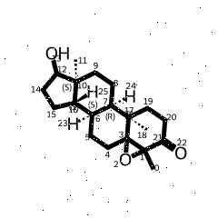 CC12OC13CC[C@@H]1[C@@H](CC[C@]4(C)C(O)CC[C@@H]14)[C@@]3(C)CCC2=O